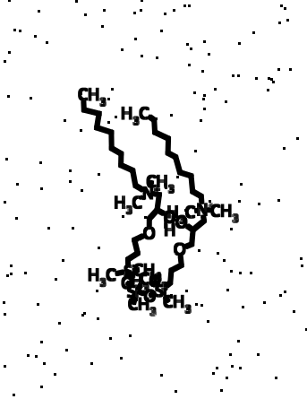 CCCCCCCCCC[N+](C)(C)CC(O)COCCC[Si](C)(C)O[Si](C)(C)O[Si](C)(C)CCCOCC(O)C[N+](C)(C)CCCCCCCCCC